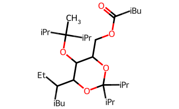 CCC(C)C(=O)OCC1OC(C(C)C)(C(C)C)OC(C(CC)C(C)CC)C1OC(C)(C(C)C)C(C)C